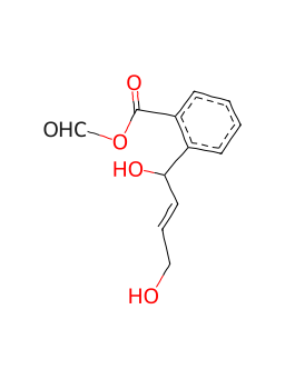 O=COC(=O)c1ccccc1C(O)C=CCO